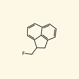 F[CH]C1Cc2cccc3cccc1c23